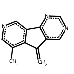 C=C1c2cncnc2-c2cncc(C)c21